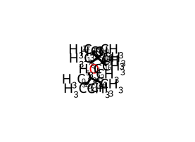 CC(C)(C)C(COCC(C(C)(C)C)(C(C)(C)C)C(C)(C)C)C(C)(C)C